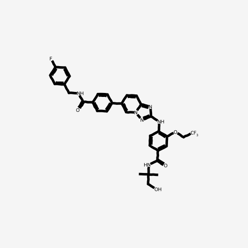 CC(C)(CO)NC(=O)c1ccc(Nc2nc3ccc(-c4ccc(C(=O)NCc5ccc(F)cc5)cc4)cn3n2)c(OCC(F)(F)F)c1